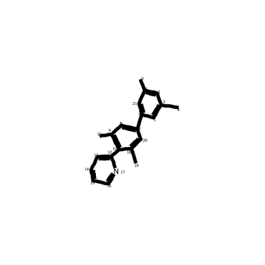 Cc1cc(C)cc(-c2cc(C)c(-c3ccccn3)c(C)c2)c1